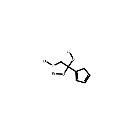 CCOCC(OCC)(OCC)C1=CC=CC1